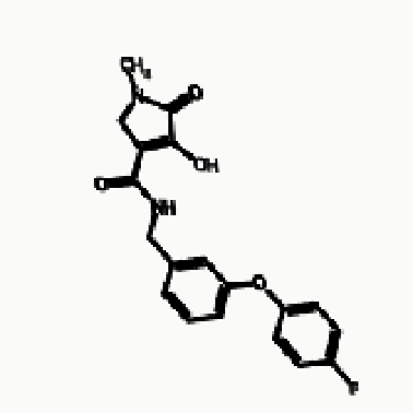 CN1CC(C(=O)NCc2cccc(Oc3ccc(F)cc3)c2)=C(O)C1=O